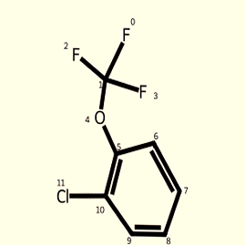 FC(F)(F)Oc1[c]cccc1Cl